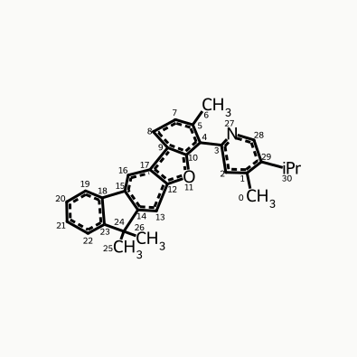 Cc1cc(-c2c(C)ccc3c2oc2cc4c(cc23)-c2ccccc2C4(C)C)ncc1C(C)C